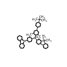 Cc1cc(-c2ccc(C(C)(C)C)cc2)cc(C)c1N(c1ccc(-n2c3ccccc3c3ccccc32)cc1)c1ccc2c(c1)C(C)(C)c1ccccc1-2